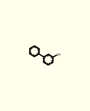 Sc1cccc(-c2ccccc2)c1